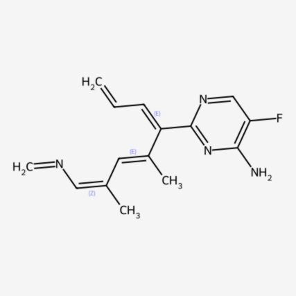 C=C\C=C(/C(C)=C/C(C)=C\N=C)c1ncc(F)c(N)n1